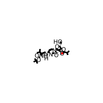 CC(C)C(=O)O[C@@H]1[C@@H](CO)O[C@@H](n2ccc(NCC(NC(=O)OC(C)(C)C)C(C)C)nc2=O)C1(F)F